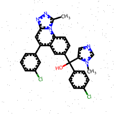 Cc1nnc2cc(-c3cccc(Cl)c3)c3cc(C(O)(c4ccc(Cl)cc4)c4cncn4C)ccc3n12